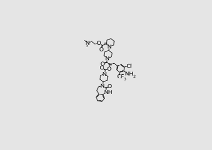 CN(C)CCOC(=O)[C@H]1CCCCN1C1CCN(C(=O)[C@@H](Cc2cc(Cl)c(N)c(C(F)(F)F)c2)OC(=O)N2CCC(N3CCc4ccccc4NC3=O)CC2)CC1